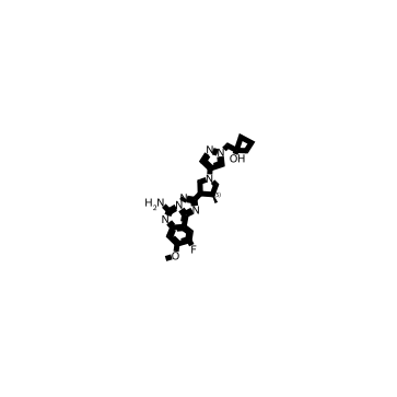 COc1cc2nc(N)n3nc(C4CN(c5cnn(CC6(O)CCC6)c5)C[C@H]4C)nc3c2cc1F